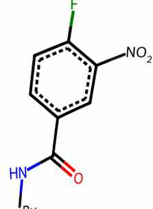 CCCCNC(=O)c1ccc(F)c([N+](=O)[O-])c1